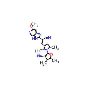 COc1cc2nc(C(C#N)=Cc3cc(C)n(-c4oc(C)c(C)c4C#N)c3C)[nH]c2cn1